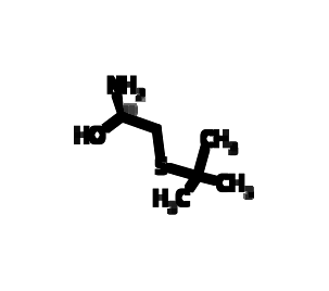 CC(C)(C)SC[C@H](N)O